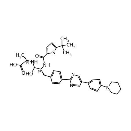 C[C@@H](NC(O)[C@H](Cc1ccc(-c2ncc(-c3ccc(N4CCCCC4)cc3)cn2)cc1)NC(=O)c1ccc(C(C)(C)C)s1)C(=O)O